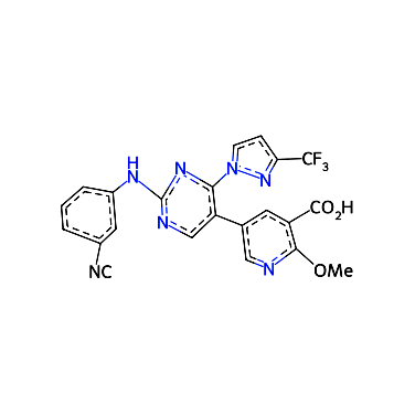 [C-]#[N+]c1cccc(Nc2ncc(-c3cnc(OC)c(C(=O)O)c3)c(-n3ccc(C(F)(F)F)n3)n2)c1